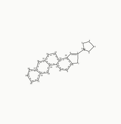 C1=C(N2CCCC2)Cc2ccc3c(ccc4cc5ccccc5cc43)c21